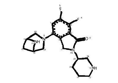 O=C1c2c(F)c(F)cc(N3CC4CC(C3)N4)c2CN1C1CCCNC1